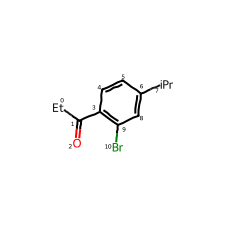 CCC(=O)c1ccc(C(C)C)cc1Br